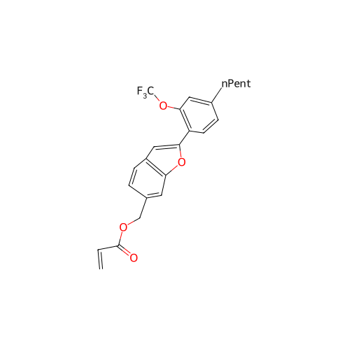 C=CC(=O)OCc1ccc2cc(-c3ccc(CCCCC)cc3OC(F)(F)F)oc2c1